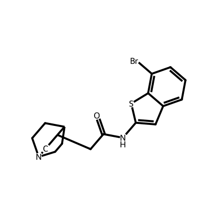 O=C(CC1CN2CCC1CC2)Nc1cc2cccc(Br)c2s1